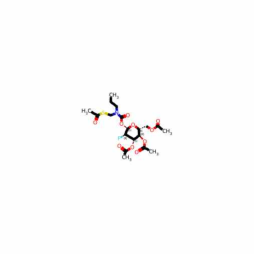 CCCN(CSC(C)=O)C(=O)O[C@@H]1O[C@H](COC(C)=O)[C@@H](OC(C)=O)[C@H](OC(C)=O)[C@H]1F